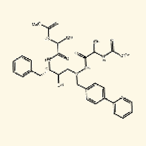 COC(=O)NC(C(=O)N[C@@H](Cc1ccccc1)C(O)CN(Cc1ccc(-c2ccccn2)cc1)NC(=O)C(NC(=O)OC)C(C)(C)C)C(C)(C)C